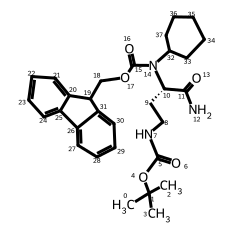 CC(C)(C)OC(=O)NCC[C@@H](C(N)=O)N(C(=O)OCC1c2ccccc2-c2ccccc21)C1CCCCC1